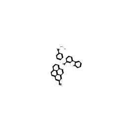 CC(C)(C)c1ccc(N(C(=O)c2cccc3c2[nH]c2ccccc23)c2ccc3ccc4cc(C(C)(C)C)cc5ccc2c3c45)cc1